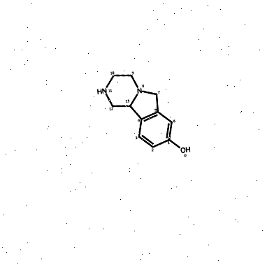 Oc1ccc2c(c1)CN1CCNCC21